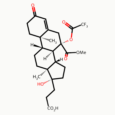 COC(=O)[C@]1(OC(=O)C(F)(F)F)CC2=CC(=O)CC[C@]2(C)[C@H]2CC[C@@]3(C)[C@@H](CC[C@@]3(O)CCC(=O)O)[C@@H]21